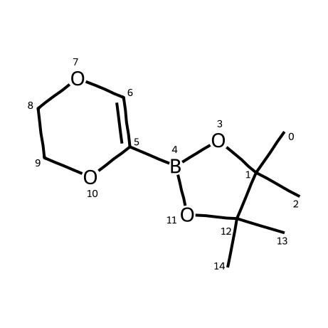 CC1(C)OB(C2=COCCO2)OC1(C)C